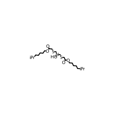 CC(C)CCCCCOC(=O)CSCN(O)CSCC(=O)OCCCCCC(C)C